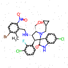 Cc1c(Br)ccc([N+](=O)[O-])c1CN[C@@H]1[C@H](CO)N(CC2CC2)[C@@]2(C(=O)Nc3cc(Cl)ccc32)[C@H]1c1cccc(Cl)c1F